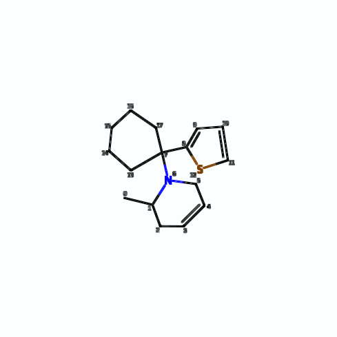 CC1CC=CCN1C1(c2cccs2)CCCCC1